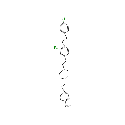 CCCc1ccc(CC[C@H]2CC[C@H](CCc3ccc(CCc4ccc(Cl)cc4)c(F)c3)CC2)cc1